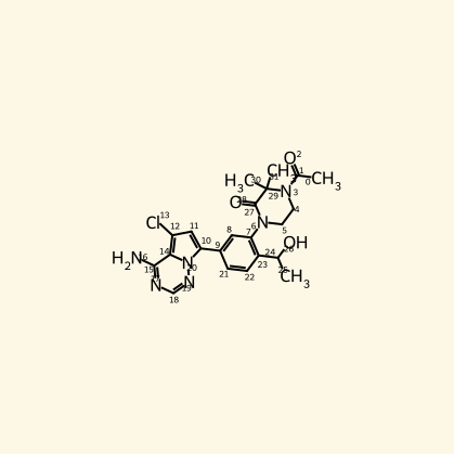 CC(=O)N1CCN(c2cc(-c3cc(Cl)c4c(N)ncnn34)ccc2C(C)O)C(=O)C1(C)C